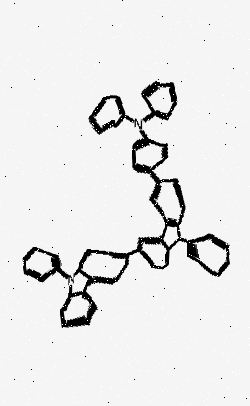 c1ccc(C2c3ccc(-c4ccc(N(c5ccccc5)c5ccccc5)cc4)cc3-c3cc(-c4ccc5c(c4)c4ccccc4n5-c4ccccc4)ccc32)cc1